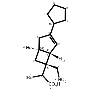 CC(C)(C)C(C(=O)O)[C@]1(C[N+](=O)[O-])C[C@H]2CC(C3CCCC3)=C[C@@H]21